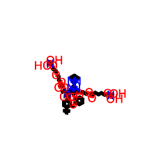 COc1ccccc1Oc1c(OCCOC(=O)CCCCON(O)O)nc(-c2ncccn2)nc1N(C(C)OC(=O)OCCOCCON(O)O)S(=O)(=O)c1ccc(C(C)(C)C)cc1